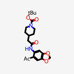 CC(=O)c1cc2c(cc1NC(=O)CC1CCN(C(=O)OC(C)(C)C)CC1)OCO2